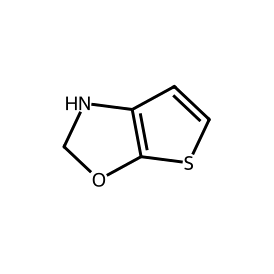 c1cc2c(s1)OCN2